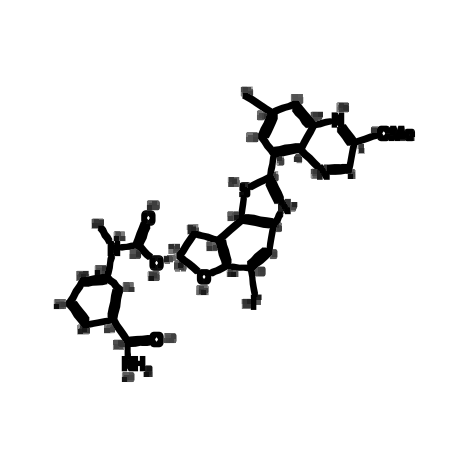 COc1cnc2c(-c3nc4cc(F)c5c(c4s3)C[C@@H](OC(=O)N(C)c3cccc(C(N)=O)c3)O5)cc(C)cc2n1